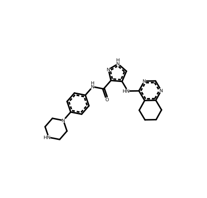 O=C(Nc1ccc(N2CCNCC2)cc1)c1n[nH]cc1Nc1ncnc2c1CCCC2